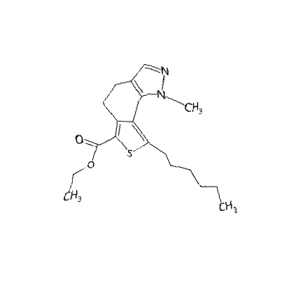 CCCCCCc1sc(C(=O)OCC)c2c1-c1c(cnn1C)CC2